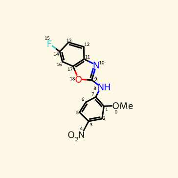 COc1cc([N+](=O)[O-])ccc1Nc1nc2ccc(F)cc2o1